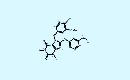 COc1cc(Cn2c(Oc3cccc(OC(F)(F)F)c3)nc3c2c(=O)n(C)c(=O)n3C)ccc1Cl